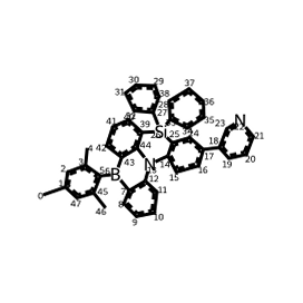 Cc1cc(C)c(B2c3ccccc3N3c4ccc(-c5cccnc5)cc4[Si](c4ccccc4)(c4ccccc4)c4cccc2c43)c(C)c1